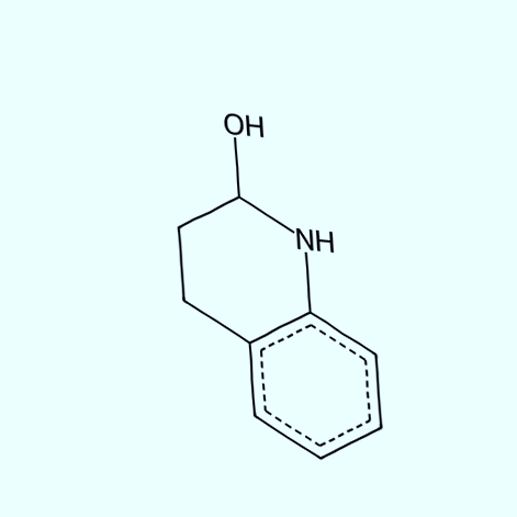 OC1CCc2ccccc2N1